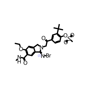 CCOc1cc2c(cc1C(=O)NC)/C(=N/Br)N(CC(=O)c1ccc(OS(C)(=O)=O)c(C(C)(C)C)c1)C2